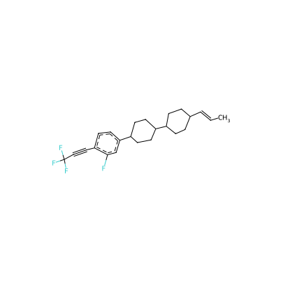 C/C=C/C1CCC(C2CCC(c3ccc(C#CC(F)(F)F)c(F)c3)CC2)CC1